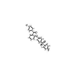 O=C(c1ccc(F)cc1)c1ccccc1Oc1ccc(S(=O)(=O)c2ccc(F)cc2)cc1